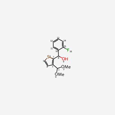 COC(OC)c1ccsc1C(O)c1ccccc1F